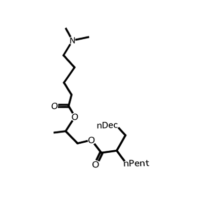 CCCCCCCCCCCC(CCCCC)C(=O)OCC(C)OC(=O)CCCCN(C)C